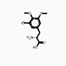 COc1cc(C[C@@H](N)C(=O)O)cc(Cl)c1OC